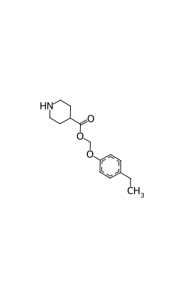 CCc1ccc(OCOC(=O)C2CCNCC2)cc1